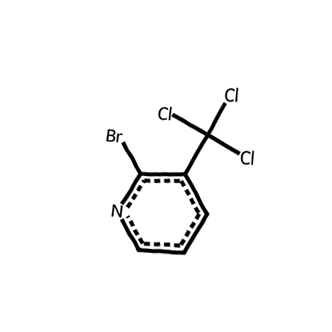 ClC(Cl)(Cl)c1cccnc1Br